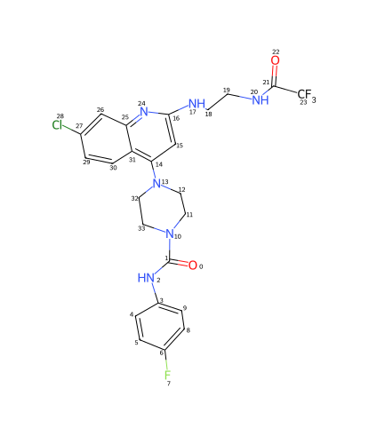 O=C(Nc1ccc(F)cc1)N1CCN(c2cc(NCCNC(=O)C(F)(F)F)nc3cc(Cl)ccc23)CC1